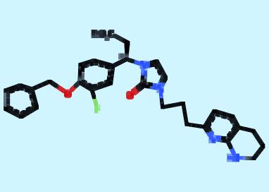 CCOC(=O)C[C@H](c1ccc(OCc2ccccc2)c(F)c1)n1ccn(CCCc2ccc3c(n2)NCCC3)c1=O